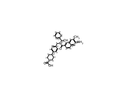 Cc1cc2cc(C(=O)N(Cc3ccc(C4CCN(C(=O)O)CC4)cn3)C(C)c3ncccn3)ccc2nc1N